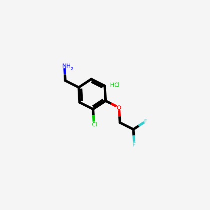 Cl.NCc1ccc(OCC(F)F)c(Cl)c1